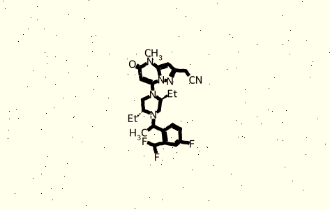 CC[C@H]1CN(C(C)c2ccc(F)cc2C(F)F)[C@H](CC)CN1c1cc(=O)n(C)c2cc(CC#N)nn12